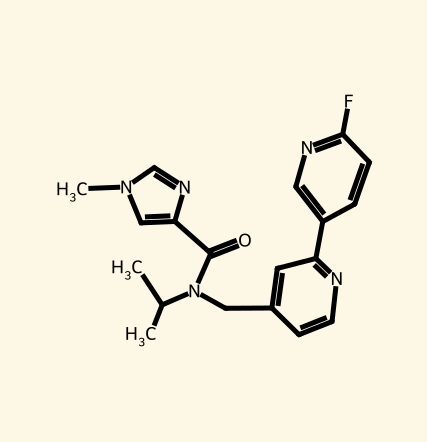 CC(C)N(Cc1ccnc(-c2ccc(F)nc2)c1)C(=O)c1cn(C)cn1